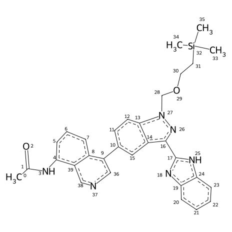 CC(=O)Nc1cccc2c(-c3ccc4c(c3)c(-c3nc5ccccc5[nH]3)nn4COCC[Si](C)(C)C)cncc12